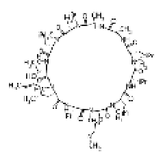 C=NCCOC1C(=O)N(C)[C@@H](CC(C)C)C(=O)N[C@@H](C(C)C)C(=O)N(C)[C@@H](CC(C)C)C(=O)N[C@@H](C)C(=O)N[C@H](C)C(=O)N(C)[C@@H](CC(C)C)C(=O)N(C)[C@@H](CC(C)C)C(=O)N(C)[C@@H](C(C)O)C(=O)N(C)[C@@H](C[C@H](C)C/C=C/C)C(=O)N[C@@H](CC)C(=O)N1C